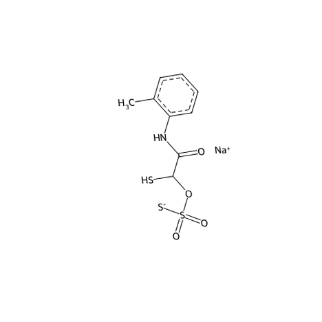 Cc1ccccc1NC(=O)C(S)OS(=O)(=O)[S-].[Na+]